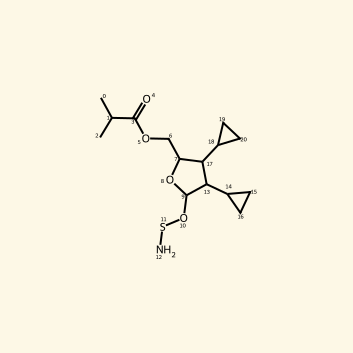 CC(C)C(=O)OCC1OC(OSN)C(C2CC2)C1C1CC1